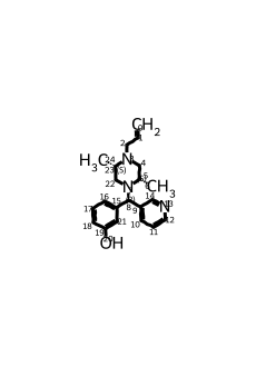 C=CCN1C[C@H](C)N([C@@H](c2cccnc2)c2cccc(O)c2)C[C@@H]1C